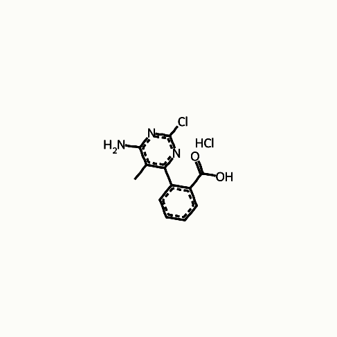 Cc1c(N)nc(Cl)nc1-c1ccccc1C(=O)O.Cl